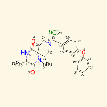 CCCCN1C(=O)C(CCC)NC(=O)C12CCN(Cc1ccc(Oc3ccccc3)cc1)CC2.Cl